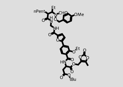 CCCCCC(C(=O)NCNC(=O)c1ccc(-c2ccc(C(=O)NC(CC(=O)OC(C)(C)C)C(=O)OCc3oc(=O)oc3C)c(OCC)c2)o1)C(CC)N(C=O)OCc1ccc(OC)cc1